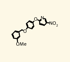 COc1cccc(COc2ccc(Oc3ccc([N+](=O)[O-])cn3)cc2)c1